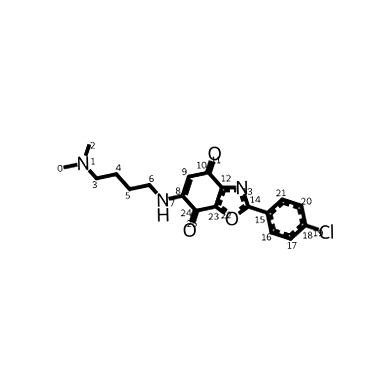 CN(C)CCCCNC1=CC(=O)c2nc(-c3ccc(Cl)cc3)oc2C1=O